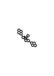 c1ccc(-n2c3cc(-c4cc5ccc6cccc7ccc(c4)c5c67)ccc3c3ccc4cc(-c5cc6ccc7cccc8ccc(c5)c6c78)ccc4c32)cc1